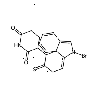 O=C1CCC(C2C(=S)CC=C3N(Br)C=C4C=CC=CC432)C(=O)N1